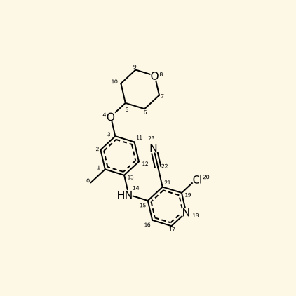 Cc1cc(OC2CCOCC2)ccc1Nc1ccnc(Cl)c1C#N